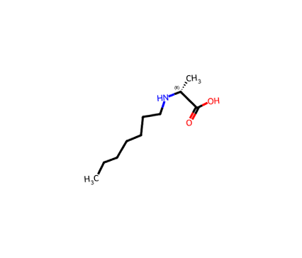 CCCCCCCN[C@H](C)C(=O)O